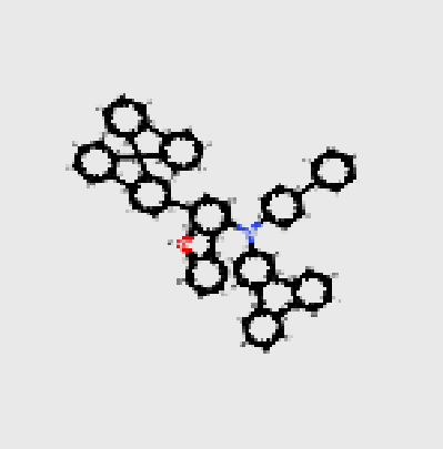 c1ccc(-c2ccc(N(c3ccc4c5ccccc5c5ccccc5c4c3)c3ccc(-c4ccc5c(c4)C4(c6ccccc6-c6ccccc64)c4ccccc4-5)c4oc5ccccc5c34)cc2)cc1